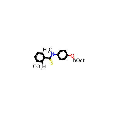 CCCCCCCCOc1ccc(N(C)C(=S)c2ccccc2C(=O)O)cc1